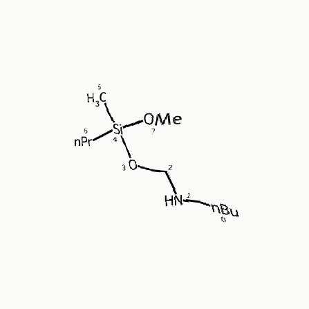 CCCCNCO[Si](C)(CCC)OC